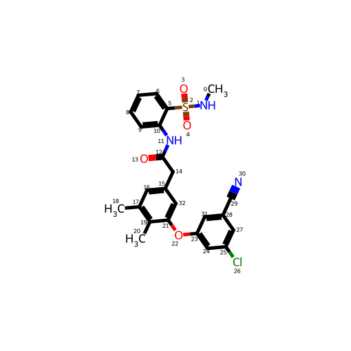 CNS(=O)(=O)c1ccccc1NC(=O)Cc1cc(C)c(C)c(Oc2cc(Cl)cc(C#N)c2)c1